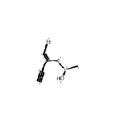 C#C/C(=C/CC)SP(C)O